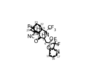 N#CC1(NC(=O)C(CS(=O)(=O)C(F)(F)c2ccccn2)N[C@H](c2ccc(F)cc2)C(F)(F)F)CC1